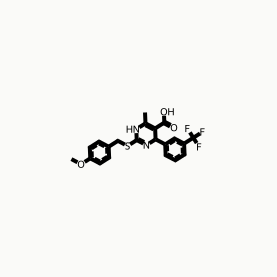 COc1ccc(CSC2=NC(c3cccc(C(F)(F)F)c3)C(C(=O)O)=C(C)N2)cc1